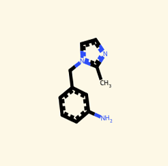 Cc1nccn1Cc1cccc(N)c1